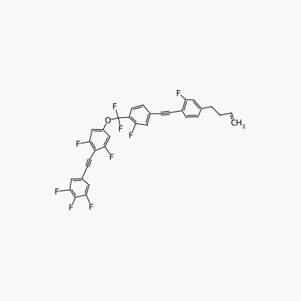 C=CCCc1ccc(C#Cc2ccc(C(F)(F)Oc3cc(F)c(C#Cc4cc(F)c(F)c(F)c4)c(F)c3)c(F)c2)c(F)c1